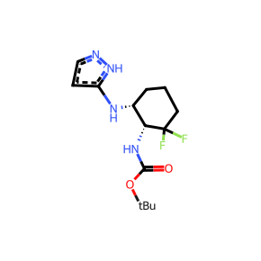 CC(C)(C)OC(=O)N[C@@H]1[C@H](Nc2ccn[nH]2)CCCC1(F)F